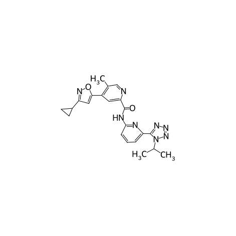 Cc1cnc(C(=O)Nc2cccc(-c3nnnn3C(C)C)n2)cc1-c1cc(C2CC2)no1